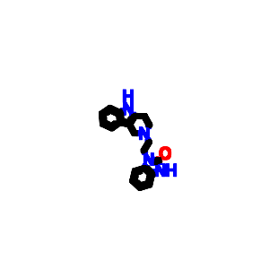 O=c1[nH]c2ccccc2n1CCN1CCc2[nH]c3ccccc3c2C1